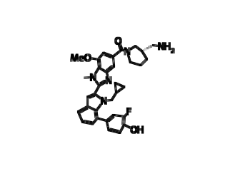 COc1cc(C(=O)N2CCC[C@@H](CN)C2)cc2nc(-c3cc4cccc(-c5ccc(O)c(F)c5)c4n3CC3CC3)n(C)c12